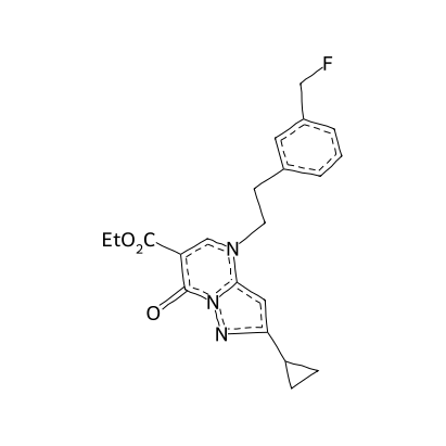 CCOC(=O)c1cn(CCc2cccc(CF)c2)c2cc(C3CC3)nn2c1=O